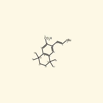 CCCCC=Cc1cc2c(cc1C(=O)O)C(C)(C)CCC2(C)C